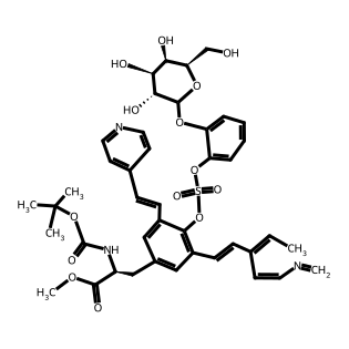 C=N\C=C/C(=C\C)/C=C/c1cc(C[C@H](NC(=O)OC(C)(C)C)C(=O)OC)cc(/C=C/c2ccncc2)c1OS(=O)(=O)Oc1ccccc1OC1O[C@H](CO)[C@H](O)[C@H](O)[C@H]1O